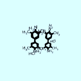 Cc1cc(-c2cc(C)c(N)c(C)c2)cc(C)c1N.Cc1cc(-c2cc(C)c(N)c(C)c2)cc(C)c1N.Cl.Cl